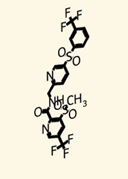 CS(=O)(=O)c1cc(C(F)(F)F)cnc1C(=O)NCc1ccc(S(=O)(=O)c2cccc(C(F)(F)F)c2)cn1